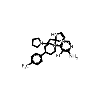 CCc1c(N)ncnc1[N+]1(C2(CCN3CCCC3)NC=CN2)CCC(c2ccc(C(F)(F)F)cc2)CC1